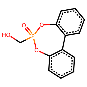 O=P1(CO)Oc2ccccc2-c2ccccc2O1